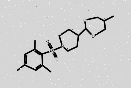 Cc1cc(C)c(S(=O)(=O)N2CCC(C3OCC(C)CO3)CC2)c(C)c1